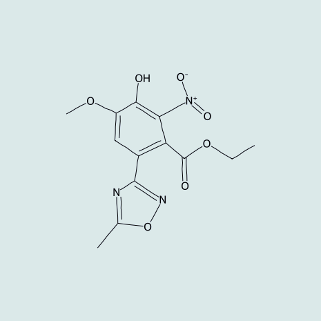 CCOC(=O)c1c(-c2noc(C)n2)cc(OC)c(O)c1[N+](=O)[O-]